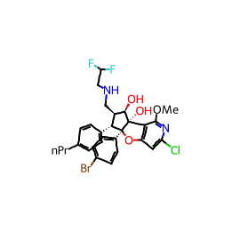 CCCc1ccc([C@@H]2[C@@H](CNCC(F)F)[C@@H](O)[C@@]3(O)c4c(cc(Cl)nc4OC)O[C@@]23c2ccc(Br)cc2)cc1